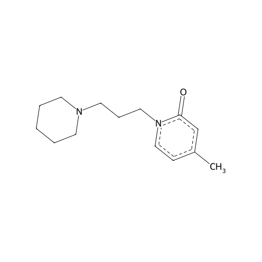 Cc1ccn(CCCN2CCCCC2)c(=O)c1